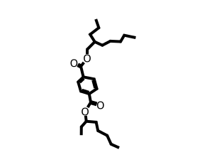 CCCCCC(CCC)COC(=O)c1ccc(C(=O)OC(CC)CCCCC)cc1